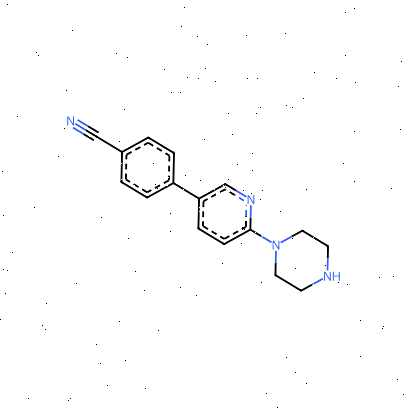 N#Cc1ccc(-c2ccc(N3CCNCC3)nc2)cc1